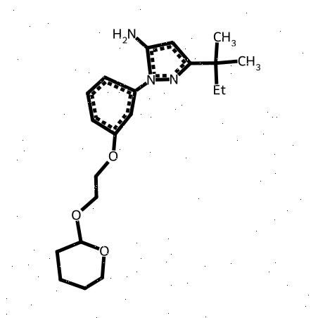 CCC(C)(C)c1cc(N)n(-c2cccc(OCCOC3CCCCO3)c2)n1